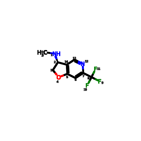 CN[C@@H]1COc2cc(C(F)(F)F)ncc21